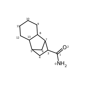 NC(=O)C1CC2CC1C1CCCCC21